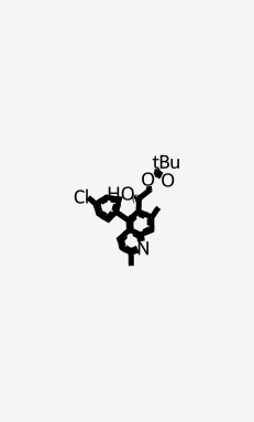 Cc1ccc2c(-c3ccc(Cl)cc3)c([C@@H](O)COC(=O)C(C)(C)C)c(C)cc2n1